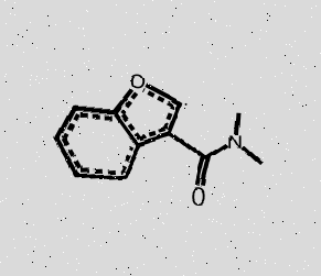 CN(C)C(=O)c1[c]oc2ccccc12